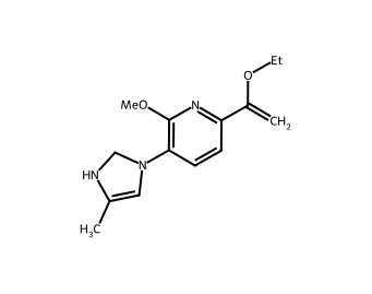 C=C(OCC)c1ccc(N2C=C(C)NC2)c(OC)n1